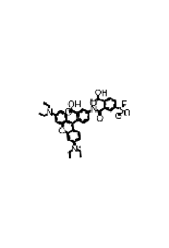 CCN(CC)c1ccc2c(-c3ccc(NC(=O)c4cc(S(=O)(=O)F)ccc4C(=O)O)cc3C(=O)O)c3ccc(=[N+](CC)CC)cc-3oc2c1